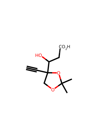 C#CC1(C(O)CC(=O)O)COC(C)(C)O1